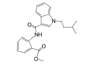 COC(=O)c1ccccc1NC(=O)c1cn(CCC(C)C)c2ccccc12